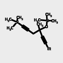 CCC#CC(C)(CC#C[Si](C)(C)C)O[Si](C)(C)C